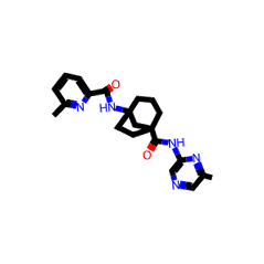 Cc1cncc(NC(=O)C23CCCC(NC(=O)c4cccc(C)n4)(CC2)C3)n1